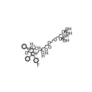 CC(C)c1c(C(=O)Nc2ccccc2)c(-c2ccccc2)c(-c2ccc(F)cc2)n1CCC(O)CC(O)CC(=O)OCCOCC(CCON(O)O)ON(O)O